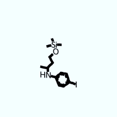 CC(CCO[Si](C)(C)C)Nc1ccc(I)cc1